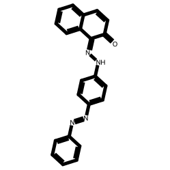 O=C1C=Cc2ccccc2/C1=N/Nc1ccc(N=Nc2ccccc2)cc1